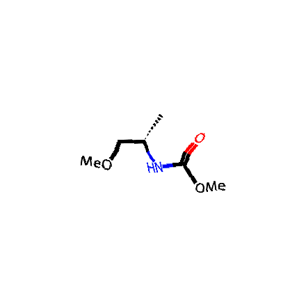 COC[C@H](C)NC(=O)OC